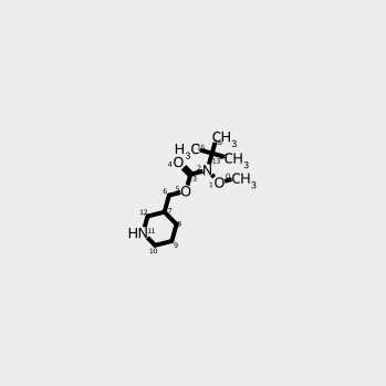 CON(C(=O)OCC1CCCNC1)C(C)(C)C